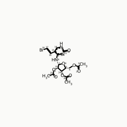 CC(=O)OC[C@H]1O[C@@H](Nc2nc(=O)[nH]cc2C=CBr)[C@H](OC(C)=O)[C@H]1OC(C)=O